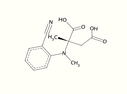 CN(c1ccccc1C#N)[C@@](C)(CC(=O)O)C(=O)O